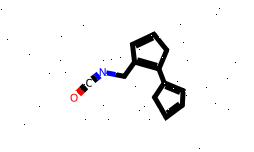 O=C=NCC1=C(C2=CC=CC2)CC=C1